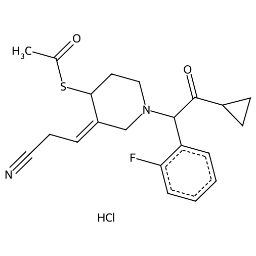 CC(=O)SC1CCN(C(C(=O)C2CC2)c2ccccc2F)CC1=CCC#N.Cl